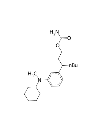 CCCCC(CCOC(N)=O)c1cccc(N(C)C2CCCCC2)c1